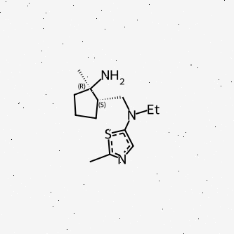 CCN(C[C@@H]1CCC[C@@]1(C)N)c1cnc(C)s1